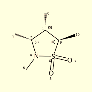 C[C@H]1[C@@H](C)N(C)S(=O)(=O)[C@@H]1C